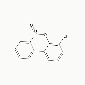 Cc1cccc2c1O[PH](=O)c1ccccc1-2